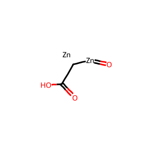 [O]=[Zn][CH2]C(=O)O.[Zn]